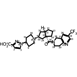 O=C(O)c1ccn(C2CCN([C@H]3C[C@H]4CCC[C@@]4(C(=O)N4CCc5ncc(C(F)(F)F)cc5C4)C3)CC2)n1